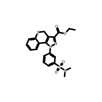 CCOC(=O)c1nn(-c2cccc(S(=O)(=O)N(C)C)c2)c2c1CSc1ccccc1-2